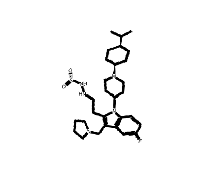 CC(C)[C@H]1CC[C@@H](N2CCC(n3c(CCNN[SH](=O)=O)c(CN4CCCC4)c4cc(F)ccc43)CC2)CC1